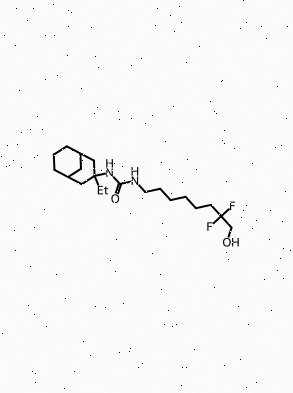 CCC1(NC(=O)NCCCCCCC(F)(F)CO)CC2CCCC(C2)C1